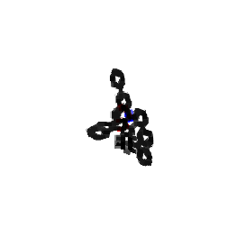 CC1(C)c2ccccc2-c2ccc(-c3cccc(N(c4ccc(-c5ccccc5)cc4)c4ccc5c(c4)Cc4ccccc4-5)c3-c3ccccc3-c3ccccc3)cc21